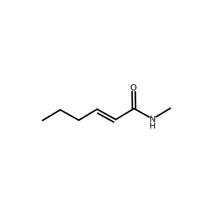 CCC/C=C/C(=O)NC